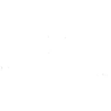 CCCCCCCCCCCCCC(C)OS(=O)(=O)OC(C)CCCCCCCCCCCCC